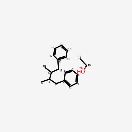 CC(Cc1ccccc1)C(C)Cc1ccccc1.CCO